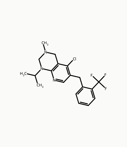 CC(C)N1CN(C)Cc2c1ncc(Cc1ccccc1C(F)(F)F)c2Cl